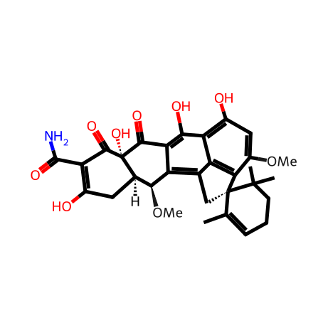 COc1cc(O)c2c(O)c3c(c4c2c1[C@]1(C4)C(C)=CCCC1(C)C)[C@@H](OC)[C@H]1CC(O)=C(C(N)=O)C(=O)[C@@]1(O)C3=O